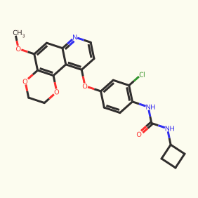 COc1cc2nccc(Oc3ccc(NC(=O)NC4CCC4)c(Cl)c3)c2c2c1OCCO2